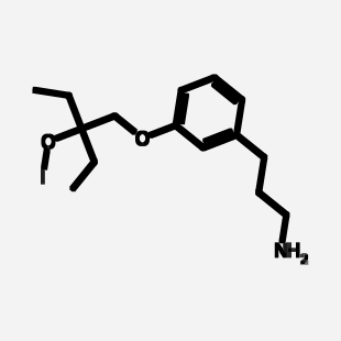 CCC(CC)(COc1cccc(CCCN)c1)OI